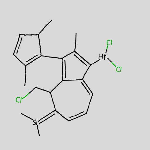 CC1=C(C2=C3C(=CC=CC(=[Si](C)C)C3CCl)[C]([Hf]([Cl])[Cl])=C2C)C(C)C=C1